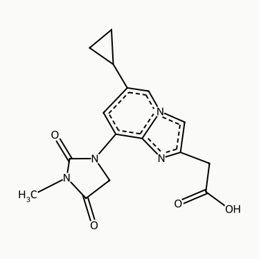 CN1C(=O)CN(c2cc(C3CC3)cn3cc(CC(=O)O)nc23)C1=O